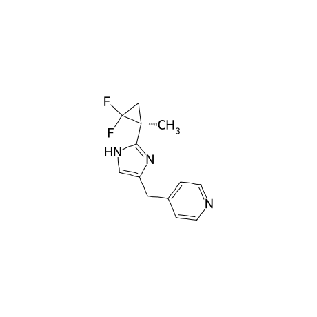 C[C@@]1(c2nc(Cc3ccncc3)c[nH]2)CC1(F)F